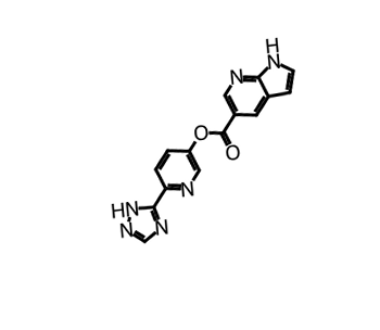 O=C(Oc1ccc(-c2ncn[nH]2)nc1)c1cnc2[nH]ccc2c1